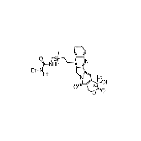 CCN(CC)C(=O)NC[Si](C)(C)CCc1c2c(nc3ccccc13)-c1cc3c(c(=O)n1C2)COC(=O)[C@]3(O)CC